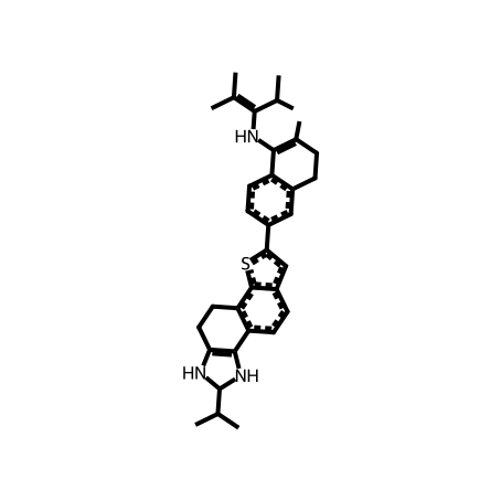 CC(C)=C(NC1=C(C)CCc2cc(-c3cc4ccc5c(c4s3)CCC3=C5NC(C(C)C)N3)ccc21)C(C)C